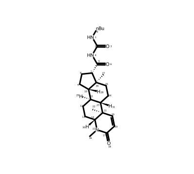 CCCCNC(=O)NC(=O)[C@H]1CC[C@H]2[C@@H]3CC[C@H]4N(C)C(=O)C=C[C@]4(C)[C@H]3CC[C@]12C